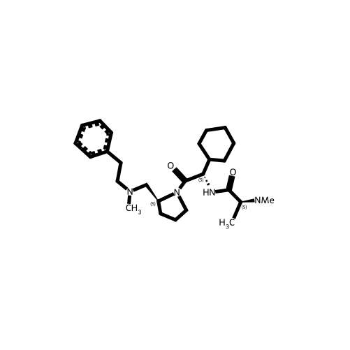 CN[C@@H](C)C(=O)N[C@H](C(=O)N1CCC[C@H]1CN(C)CCc1ccccc1)C1CCCCC1